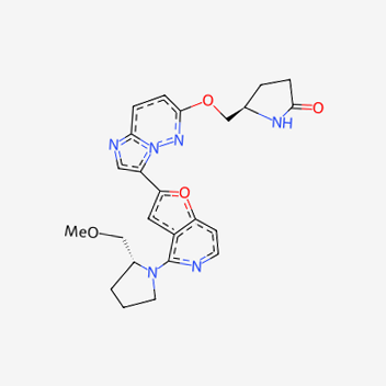 COC[C@H]1CCCN1c1nccc2oc(-c3cnc4ccc(OC[C@H]5CCC(=O)N5)nn34)cc12